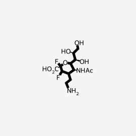 CC(=O)N[C@@H]1C(CCN)C(F)[C@](F)(C(=O)O)OC1[C@H](O)[C@H](O)CO